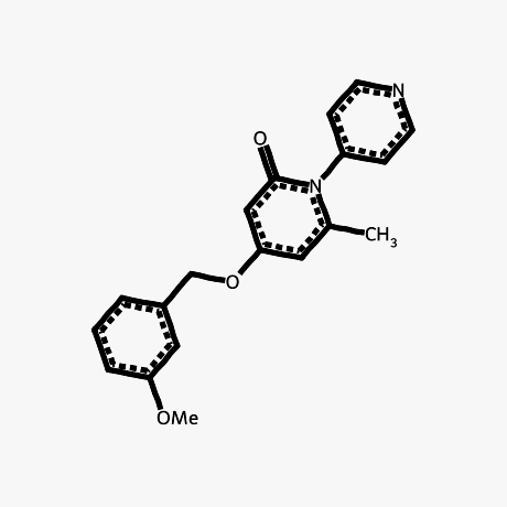 COc1cccc(COc2cc(C)n(-c3ccncc3)c(=O)c2)c1